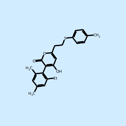 CCc1cc(C)cc(C)c1-c1c(O)cc(CCSc2ccc(C)cc2)oc1=O